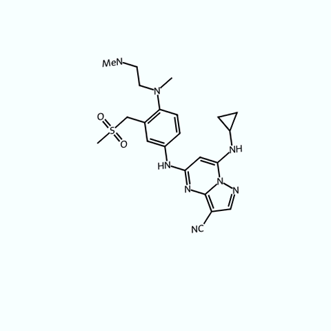 CNCCN(C)c1ccc(Nc2cc(NC3CC3)n3ncc(C#N)c3n2)cc1CS(C)(=O)=O